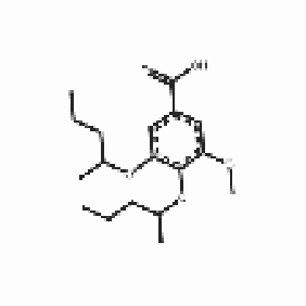 CCCC(C)Oc1cc(C(=O)O)cc(OC)c1OC(C)CCC